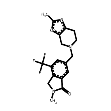 Cc1nc2c(o1)CN(Cc1cc3c(c(C(F)(F)F)c1)CN(C)C3=O)CC2